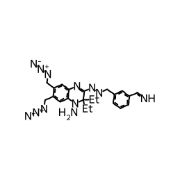 CCC1(CC)C(N=NCc2cccc(C=N)c2)=Nc2cc(CN=[N+]=[N-])c(CN=[N+]=[N-])cc2N1N